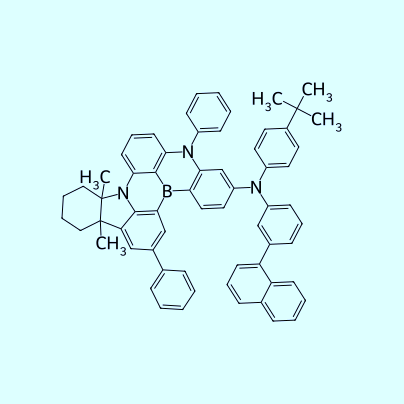 CC(C)(C)c1ccc(N(c2cccc(-c3cccc4ccccc34)c2)c2ccc3c(c2)N(c2ccccc2)c2cccc4c2B3c2cc(-c3ccccc3)cc3c2N4C2(C)CCCCC32C)cc1